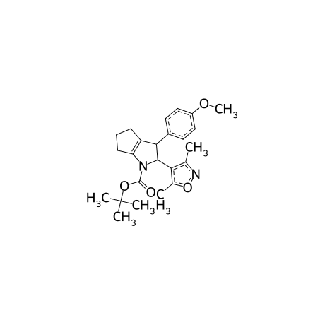 COc1ccc(C2C3=C(CCC3)N(C(=O)OC(C)(C)C)C2c2c(C)noc2C)cc1